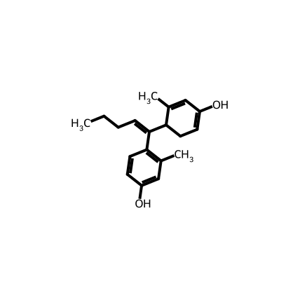 CCC/C=C(\c1ccc(O)cc1C)C1CC=C(O)C=C1C